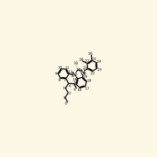 CCCCC(CC)c1ccccc1N1c2ccccc2N(c2cccc(C)c2C)[C@H]1C